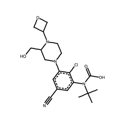 CC(C)(C)N(C(=O)O)c1cc(C#N)cc(N2CCN(C3COC3)C(CO)C2)c1Cl